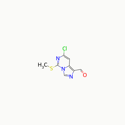 CSc1nc(Cl)cc2c(C=O)ncn12